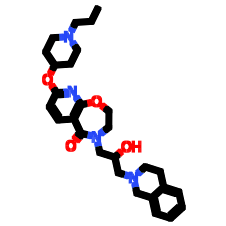 CCCN1CCC(Oc2ccc3c(n2)OCCN(CC(O)CN2CCc4ccccc4C2)C3=O)CC1